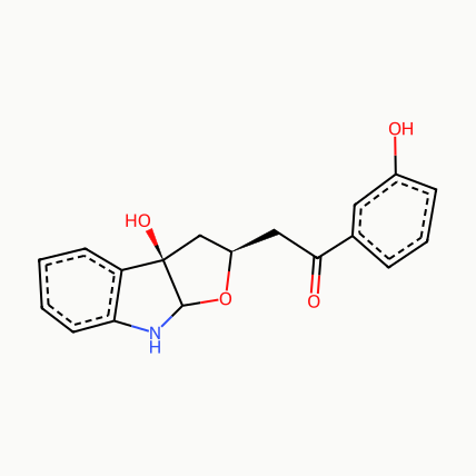 O=C(C[C@@H]1C[C@@]2(O)c3ccccc3NC2O1)c1cccc(O)c1